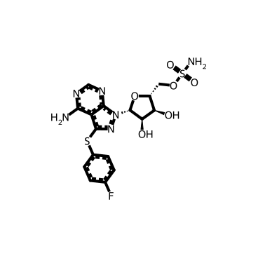 Nc1ncnc2c1c(Sc1ccc(F)cc1)nn2[C@@H]1O[C@H](COS(N)(=O)=O)[C@@H](O)[C@H]1O